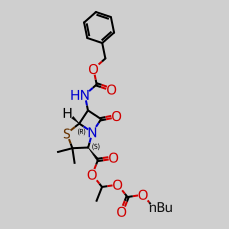 CCCCOC(=O)OC(C)OC(=O)[C@@H]1N2C(=O)C(NC(=O)OCc3ccccc3)[C@H]2SC1(C)C